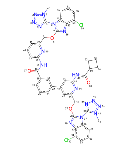 Cn1nnnc1-n1c(OCc2cccc(NC(=O)c3cccc(-c4cc(COc5nc6c(Cl)cccc6n5-c5nnnn5C)nc(NC(=O)C5CCC5)c4)c3)n2)nc2c(Cl)cccc21